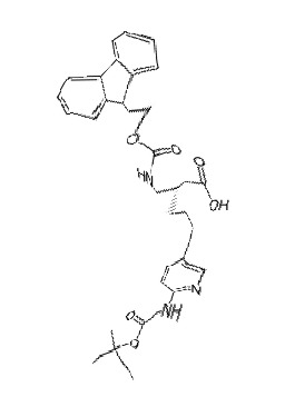 CC(C)(C)OC(=O)Nc1ccc(CC[C@H](NC(=O)OCC2c3ccccc3-c3ccccc32)C(=O)O)cn1